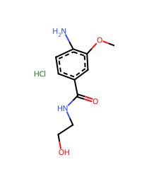 COc1cc(C(=O)NCCO)ccc1N.Cl